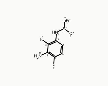 CCC[S+]([O-])Nc1ccc(F)c(N)c1F